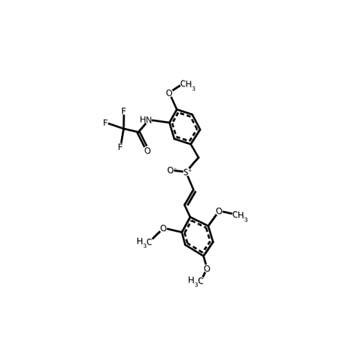 COc1cc(OC)c(/C=C/[S+]([O-])Cc2ccc(OC)c(NC(=O)C(F)(F)F)c2)c(OC)c1